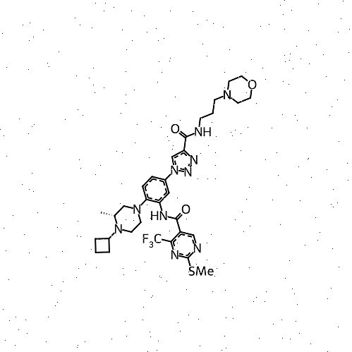 CSc1ncc(C(=O)Nc2cc(-n3cc(C(=O)NCCCN4CCOCC4)nn3)ccc2N2CCN(C3CCC3)[C@H](C)C2)c(C(F)(F)F)n1